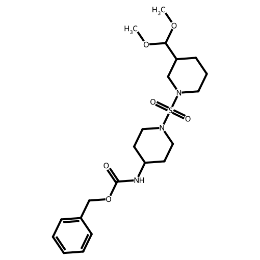 COC(OC)C1CCCN(S(=O)(=O)N2CCC(NC(=O)OCc3ccccc3)CC2)C1